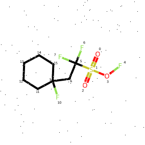 O=S(=O)(OF)C(F)(F)CC1(F)CCCCC1